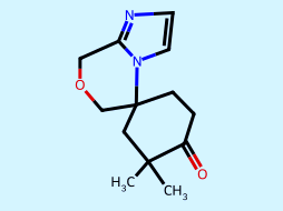 CC1(C)CC2(CCC1=O)COCc1nccn12